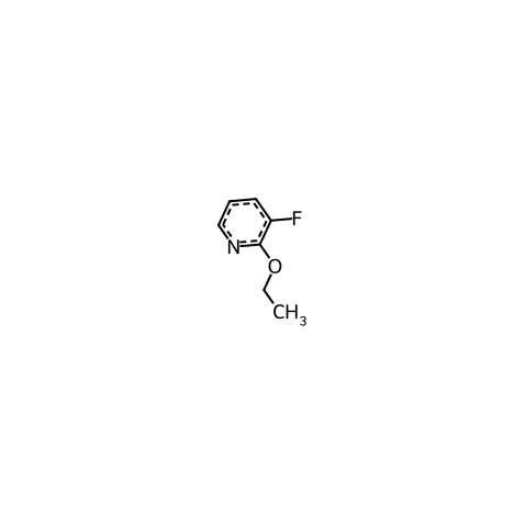 CCOc1ncccc1F